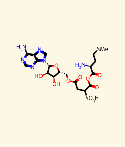 CSCC[C@H](N)C(=O)OC(=O)C(CC(=O)OC[C@H]1O[C@@H](n2cnc3c(N)ncnc32)[C@H](O)[C@@H]1O)S(=O)(=O)O